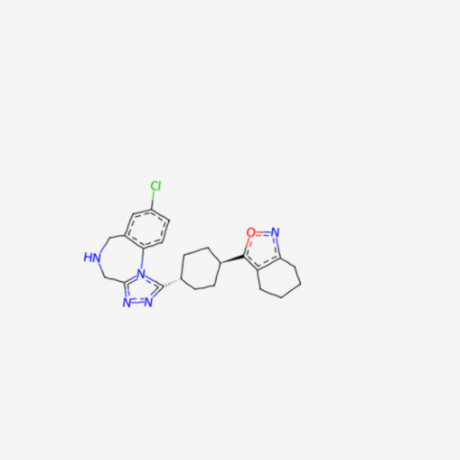 Clc1ccc2c(c1)CNCc1nnc([C@H]3CC[C@H](c4onc5c4CCCC5)CC3)n1-2